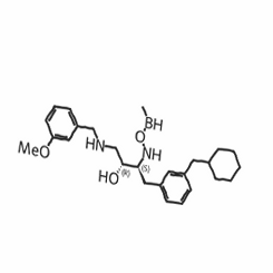 CBON[C@@H](Cc1cccc(CC2CCCCC2)c1)[C@H](O)CNCc1cccc(OC)c1